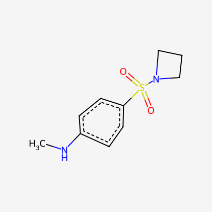 CNc1ccc(S(=O)(=O)N2CCC2)cc1